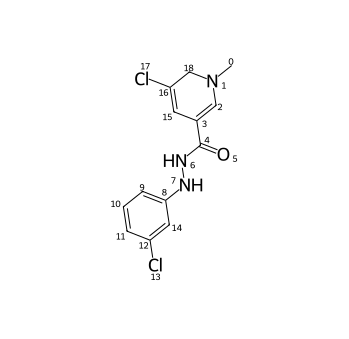 CN1C=C(C(=O)NNc2cccc(Cl)c2)C=C(Cl)C1